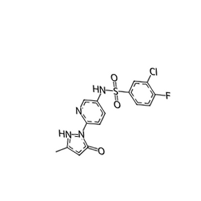 Cc1cc(=O)n(-c2ccc(NS(=O)(=O)c3ccc(F)c(Cl)c3)cn2)[nH]1